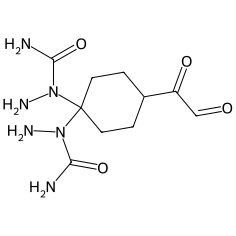 NC(=O)N(N)C1(N(N)C(N)=O)CCC(C(=O)C=O)CC1